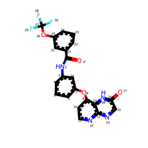 O=C(Nc1cccc(Oc2ccnc3ncc(=O)[nH]c23)c1)c1cccc(OC(F)(F)F)c1